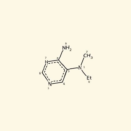 CCN(C)c1cncnc1N